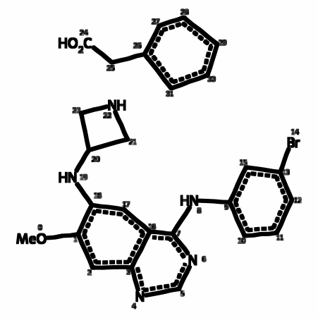 COc1cc2ncnc(Nc3cccc(Br)c3)c2cc1NC1CNC1.O=C(O)Cc1ccccc1